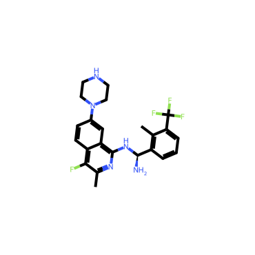 Cc1nc(N[C@H](N)c2cccc(C(F)(F)F)c2C)c2cc(N3CCNCC3)ccc2c1F